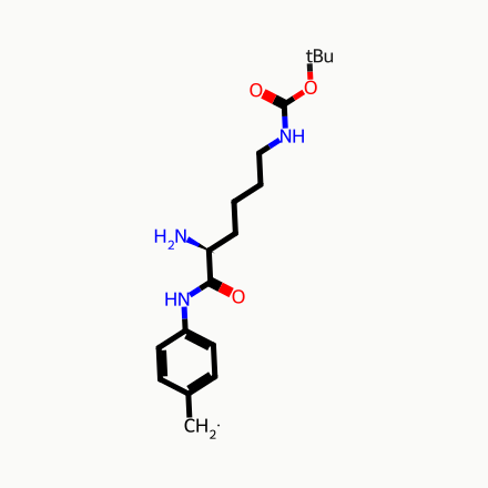 [CH2]c1ccc(NC(=O)[C@@H](N)CCCCNC(=O)OC(C)(C)C)cc1